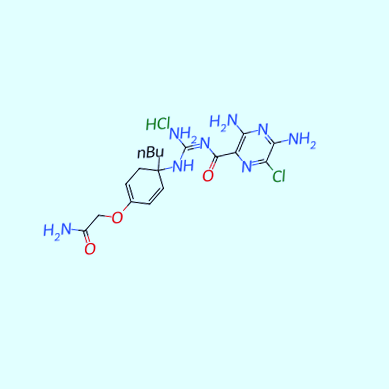 CCCCC1(NC(N)=NC(=O)c2nc(Cl)c(N)nc2N)C=CC(OCC(N)=O)=CC1.Cl